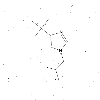 CC(C)Cn1cnc(C(C)(C)C)c1